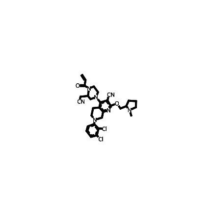 C=CC(=O)N1CCN(c2c(C#N)c(OCC3CCCN3C)nc3c2CCN(c2cccc(Cl)c2Cl)C3)CC1CC#N